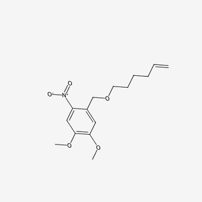 C=CCCCCOCc1cc(OC)c(OC)cc1[N+](=O)[O-]